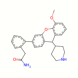 COc1cccc2c1Oc1cc(-c3ccccc3CC(N)=O)ccc1C2C1CCNCC1